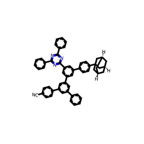 N#Cc1ccc(-c2cc(-c3ccccc3)cc(-c3cc(-c4ccc(C56C[C@H]7C[C@H](C5)C[C@@H](C6)C7)cc4)cc(-c4nc(-c5ccccc5)nc(-c5ccccc5)n4)c3)c2)cc1